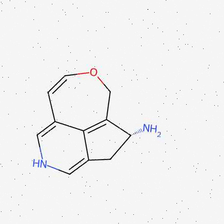 N[C@@H]1CC2=CNC=C3C=COCC1=C32